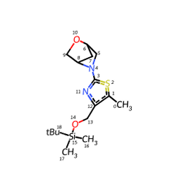 Cc1sc(N2CC3CC2CO3)nc1CO[Si](C)(C)C(C)(C)C